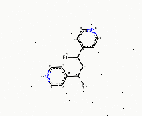 CCC(CC(CC)c1ccncc1)c1ccncc1